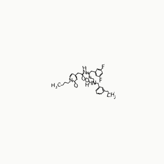 CCCCn1ccc(CC(=O)N[C@@H](Cc2cc(F)cc(F)c2)[C@@H](O)CNCc2cccc(CC)c2)cc1=O